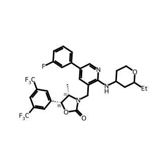 CCC1CC(Nc2ncc(-c3cccc(F)c3)cc2CN2C(=O)O[C@H](c3cc(C(F)(F)F)cc(C(F)(F)F)c3)[C@@H]2C)CCO1